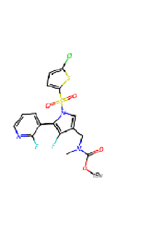 CN(Cc1cn(S(=O)(=O)c2ccc(Cl)s2)c(-c2cccnc2F)c1F)C(=O)OC(C)(C)C